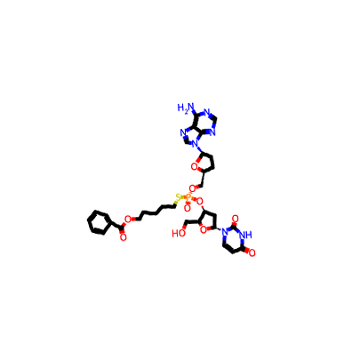 Nc1ncnc2c1ncn2[C@H]1CC[C@@H](COP(=O)(O[C@@H]2C[C@H](n3ccc(=O)[nH]c3=O)OC2CO)SCCCCCOC(=O)c2ccccc2)O1